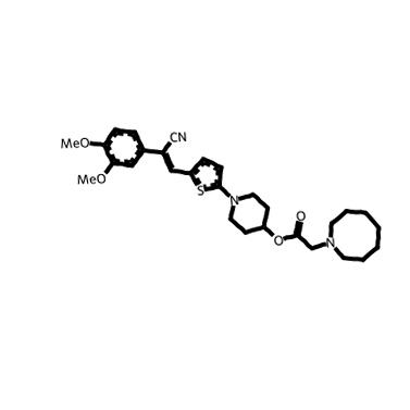 COc1ccc(/C(C#N)=C/c2ccc(N3CCC(OC(=O)CN4CCCCCCC4)CC3)s2)cc1OC